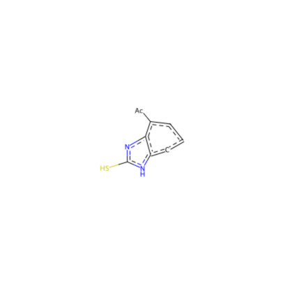 CC(=O)c1cccc2[nH]c(S)nc12